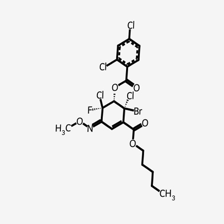 CCCCCOC(=O)C1=CC(=NOC)[C@@](F)(Cl)[C@H](OC(=O)c2ccc(Cl)cc2Cl)[C@@]1(Cl)Br